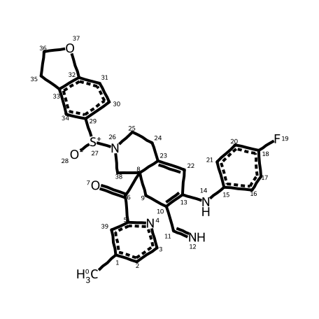 Cc1ccnc(C(=O)C23CC(C=N)=C(Nc4ccc(F)cc4)C=C2CCN([S+]([O-])c2ccc4c(c2)CCO4)C3)c1